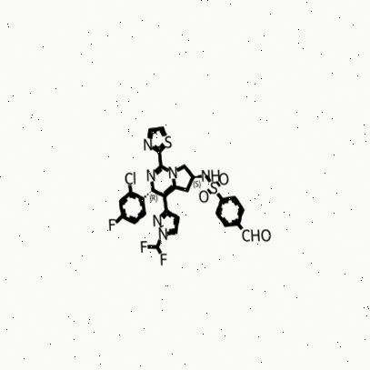 O=Cc1ccc(S(=O)(=O)N[C@H]2CC3=C(c4ccn(C(F)F)n4)[C@H](c4ccc(F)cc4Cl)N=C(c4nccs4)N3C2)cc1